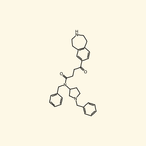 O=C(CCC(=O)N(Cc1ccccc1)C1CCN(Cc2ccccc2)C1)c1ccc2c(c1)CCNCC2